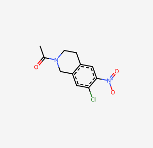 CC(=O)N1CCc2cc([N+](=O)[O-])c(Cl)cc2C1